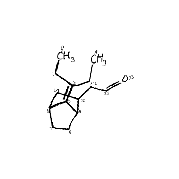 CCC(CC)=C1C2CCC1C(CC=O)C2